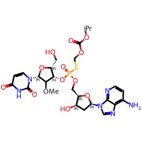 COC1[C@@H](OP(=O)(OC[C@H]2O[C@@H](n3cnc4c(N)ccnc43)C[C@H]2O)SCOC(=O)OC(C)C)[C@@H](CO)O[C@H]1n1ccc(=O)[nH]c1=O